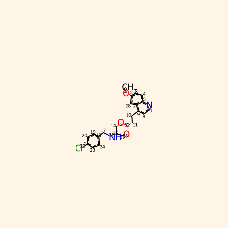 COc1ccc2nccc(CC[C@H]3OC[C@H](NCc4ccc(Cl)cc4)CO3)c2c1